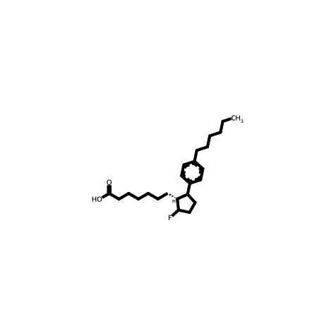 CCCCCCc1ccc(C2CCC(F)[C@@H]2CCCCCCC(=O)O)cc1